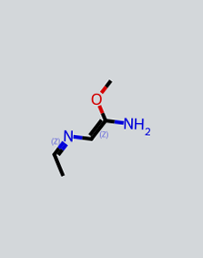 C/C=N\C=C(\N)OC